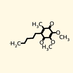 [CH2]CCCCC1=C(C)C(=O)C(OC)=C(OC)C1=O